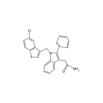 NC(=O)Cc1c(-c2ccccc2)n(Cc2csc3ccc(Cl)cc23)c2ccccc12